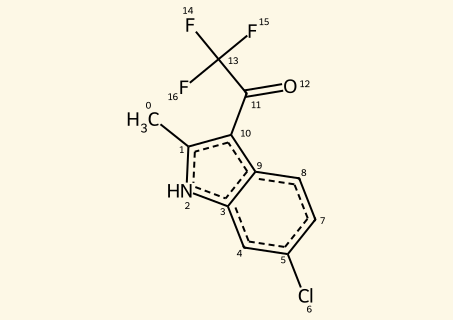 Cc1[nH]c2cc(Cl)ccc2c1C(=O)C(F)(F)F